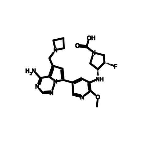 COc1ncc(-c2cc(CN3CCC3)c3c(N)ncnn23)cc1N[C@@H]1CN(C(=O)O)C[C@@H]1F